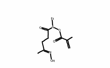 C=C(C)C(=O)ON(CC)C(=O)CCC(C)=NO